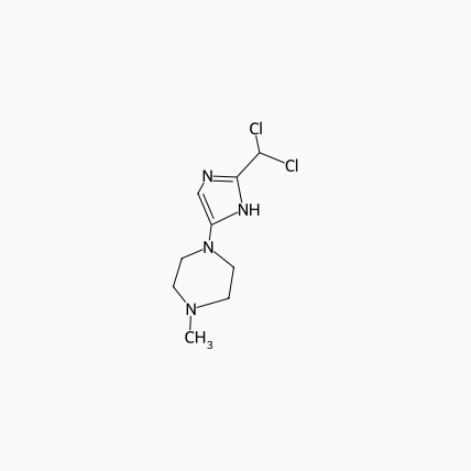 CN1CCN(c2cnc(C(Cl)Cl)[nH]2)CC1